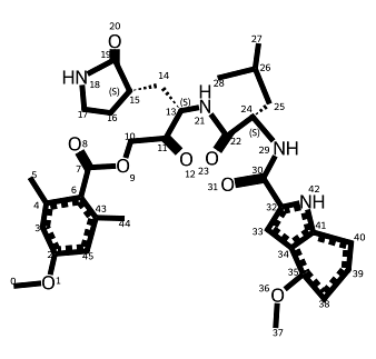 COc1cc(C)c(C(=O)OCC(=O)[C@H](C[C@@H]2CCNC2=O)NC(=O)[C@H](CC(C)C)NC(=O)c2cc3c(OC)cccc3[nH]2)c(C)c1